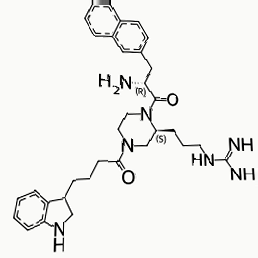 N=C(N)NCCC[C@H]1CN(C(=O)CCCC2CNc3ccccc32)CCN1C(=O)[C@H](N)Cc1ccc2ccccc2c1